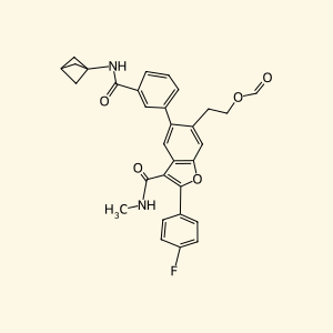 CNC(=O)c1c(-c2ccc(F)cc2)oc2cc(CCOC=O)c(-c3cccc(C(=O)NC45CC(C4)C5)c3)cc12